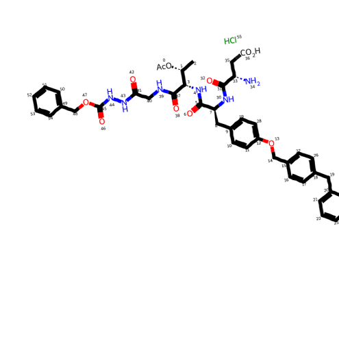 CC(=O)O[C@H](C)[C@H](NC(=O)[C@H](Cc1ccc(OCc2ccc(Cc3ccccc3)cc2)cc1)NC(=O)[C@@H](N)CC(=O)O)C(=O)NCC(=O)NNC(=O)OCc1ccccc1.Cl